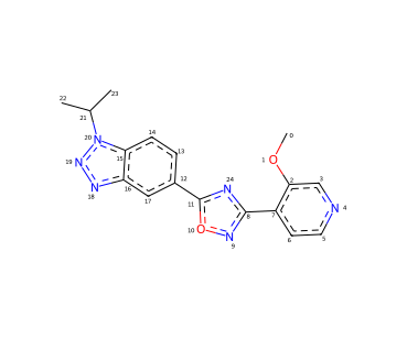 COc1cnccc1-c1noc(-c2ccc3c(c2)nnn3C(C)C)n1